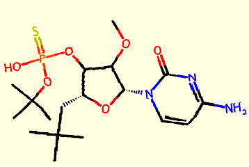 COC1C(OP(O)(=S)OC(C)(C)C)[C@@H](CC(C)(C)C)O[C@H]1n1ccc(N)nc1=O